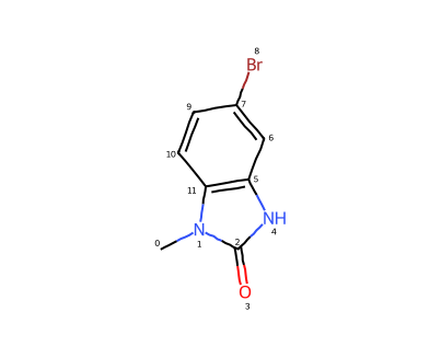 Cn1c(=O)[nH]c2cc(Br)ccc21